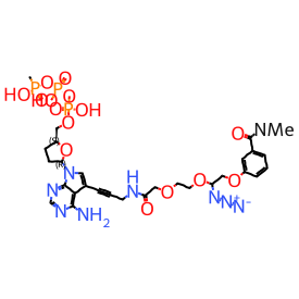 CNC(=O)c1cccc(OCC(N=[N+]=[N-])OCCOCC(=O)NCC#Cc2cn([C@H]3CC[C@@H](COP(=O)(O)OP(=O)(O)OP(C)(=O)O)O3)c3ncnc(N)c23)c1